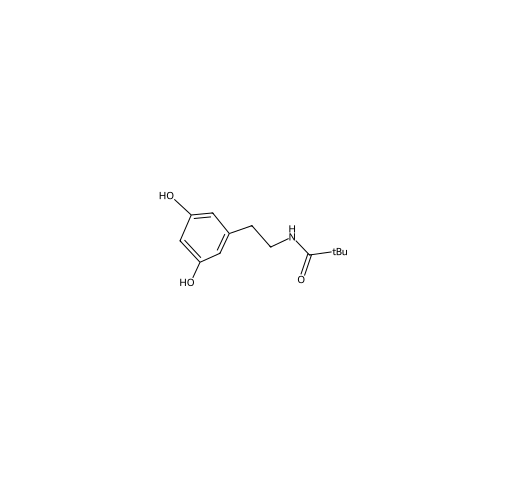 CC(C)(C)C(=O)NCCc1cc(O)cc(O)c1